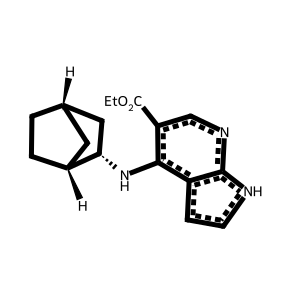 CCOC(=O)c1cnc2[nH]ccc2c1N[C@H]1C[C@H]2CC[C@@H]1C2